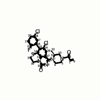 C=CC(=O)N1CCN(c2nc(=O)n3c4c(c(-c5cc(Cl)ccc5F)c(Cl)cc24)SCC3)[C@@H](C)C1